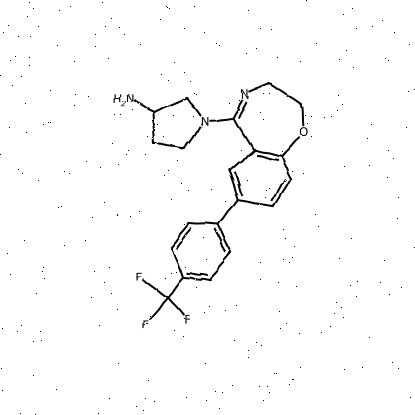 NC1CCN(C2=NCCOc3ccc(-c4ccc(C(F)(F)F)cc4)cc32)C1